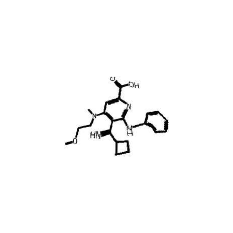 COCCN(C)c1cc(C(=O)O)nc(Nc2ccccc2)c1C(=N)C1CCC1